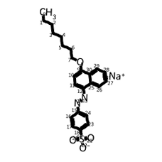 CCCCCCCCOc1ccc(/N=N/c2ccc(S(=O)(=O)[O-])cc2)c2ccccc12.[Na+]